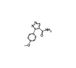 COc1ccc(-c2nnsc2C(N)=O)cc1